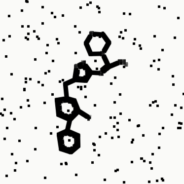 N/C(=N/c1cc(Cc2ccc(-c3ccccc3)c(F)c2)on1)N1CCOCC1